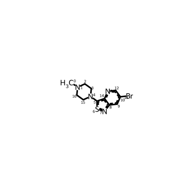 CN1CCN(c2snc3cc(Br)cnc23)CC1